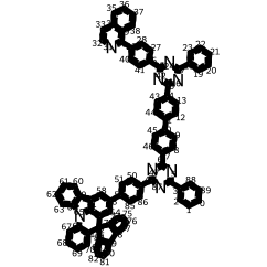 c1ccc(-c2nc(-c3ccc(-c4ccc(-c5nc(-c6ccccc6)nc(-c6ccc(-c7nccc8ccccc78)cc6)n5)cc4)cc3)nc(-c3ccc(-c4cc5c6c(c4)c4ccccc4n6-c4ccccc4C54c5ccccc5-c5ccccc54)cc3)n2)cc1